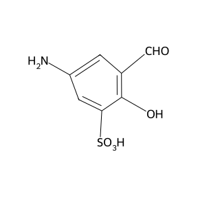 Nc1cc(C=O)c(O)c(S(=O)(=O)O)c1